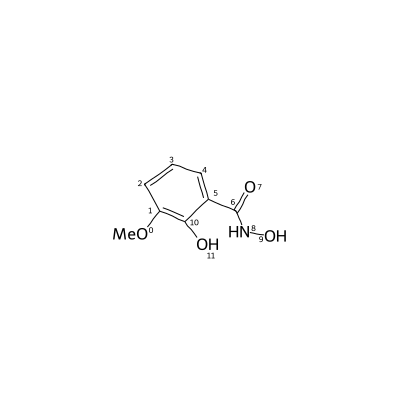 COc1cccc(C(=O)NO)c1O